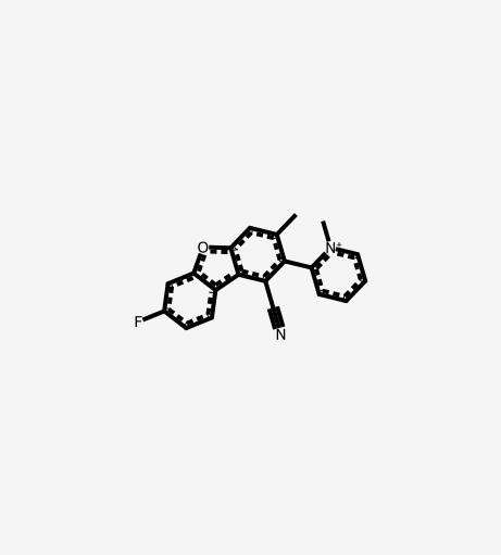 Cc1cc2oc3cc(F)ccc3c2c(C#N)c1-c1cccc[n+]1C